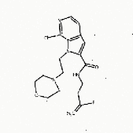 C=C(F)CCNC(=O)c1cc2ccnc(Cl)c2n1CCN1CCOCC1